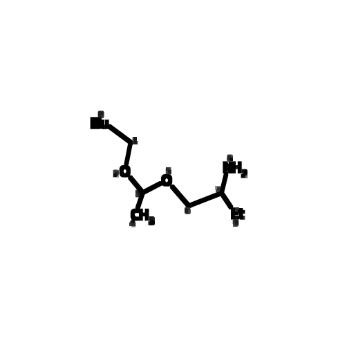 CCC(C)COC(C)OCC(N)CC